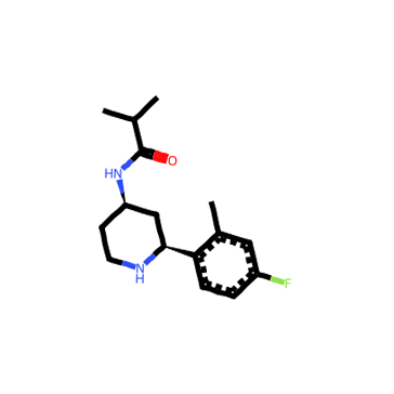 Cc1cc(F)ccc1[C@@H]1C[C@H](NC(=O)C(C)C)CCN1